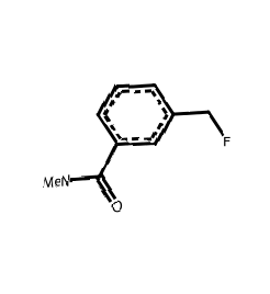 CNC(=O)c1cccc(CF)c1